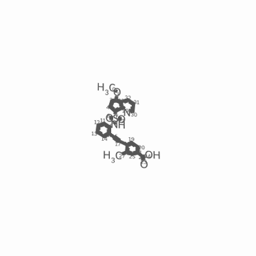 COc1ccc(S(=O)(=O)Nc2ccccc2C#Cc2ccc(C(=O)O)cc2C)c2ncccc12